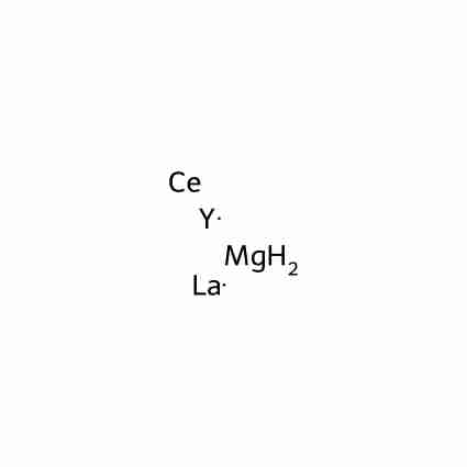 [Ce].[La].[MgH2].[Y]